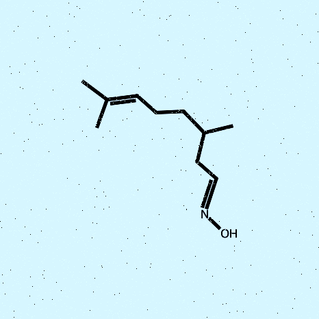 CC(C)=CCCC(C)CC=NO